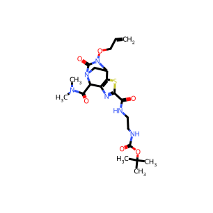 C=CCON1C(=O)N2CC1c1sc(C(=O)NCCNC(=O)OC(C)(C)C)nc1C2C(=O)N(C)C